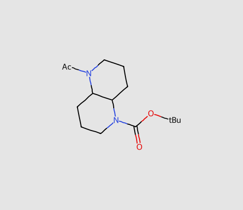 CC(=O)N1CCCC2C1CCCN2C(=O)OC(C)(C)C